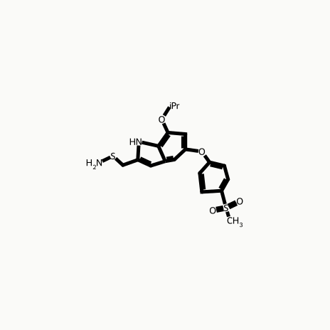 CC(C)Oc1cc(Oc2ccc(S(C)(=O)=O)cc2)cc2cc(CSN)[nH]c12